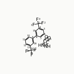 FC(F)(F)c1cccc(-c2cccc(C(F)(F)F)c2)c1.N=C=O.N=C=O